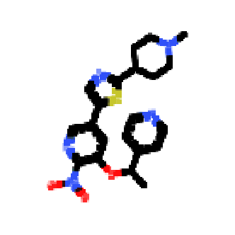 CC(Oc1cc(-c2cnc(C3CCN(C)CC3)s2)cnc1[N+](=O)[O-])c1ccncc1